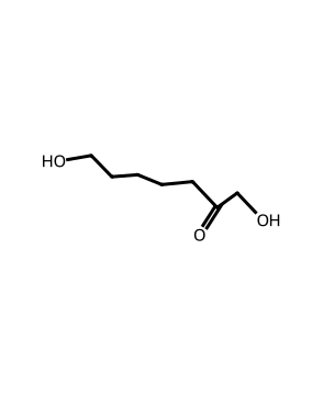 O=C(CO)CCCCCO